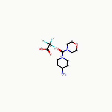 NC1CCN(C(=O)N2CCOCC2)CC1.O=C(O)C(F)(F)F